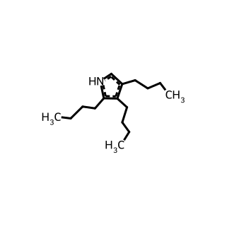 CCCCc1c[nH]c(CCCC)c1CCCC